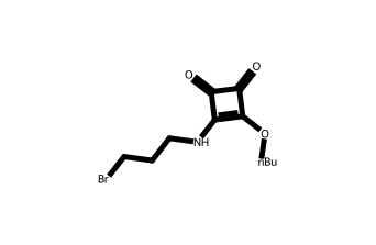 CCCCOc1c(NCCCBr)c(=O)c1=O